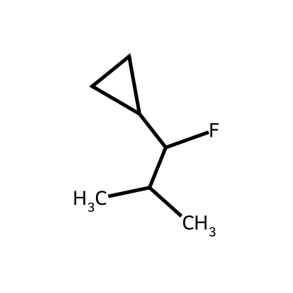 CC(C)C(F)C1CC1